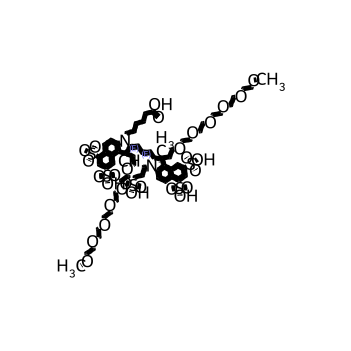 COCCOCCOCCOCCOCCOCCC1(C)C(/C=C/C=C2/N(CCCCCC(=O)O)c3ccc4c(S(=O)(=O)[O-])cc(S(=O)(=O)O)cc4c3C2(C)CCOCCOCCOCCOCCOCCOC)=[N+](CCCS(=O)(=O)O)c2ccc3c(S(=O)(=O)O)cc(S(=O)(=O)O)cc3c21